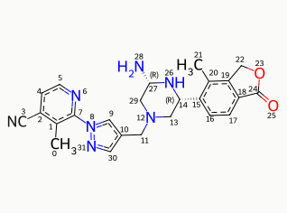 Cc1c(C#N)ccnc1-n1cc(CN2C[C@@H](c3ccc4c(c3C)COC4=O)N[C@@H](N)C2)cn1